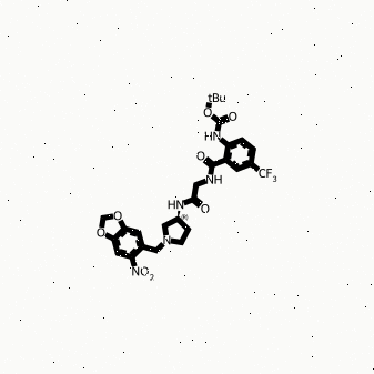 CC(C)(C)OC(=O)Nc1ccc(C(F)(F)F)cc1C(=O)NCC(=O)N[C@@H]1CCN(Cc2cc3c(cc2[N+](=O)[O-])OCO3)C1